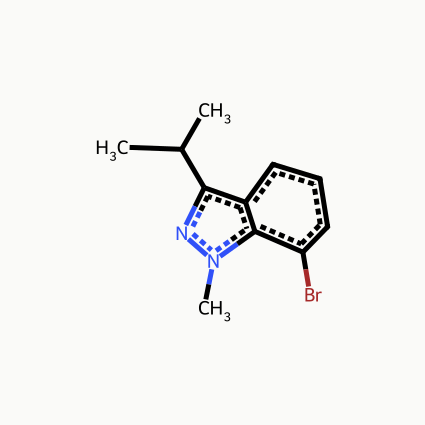 CC(C)c1nn(C)c2c(Br)cccc12